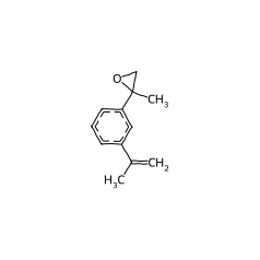 C=C(C)c1cccc(C2(C)CO2)c1